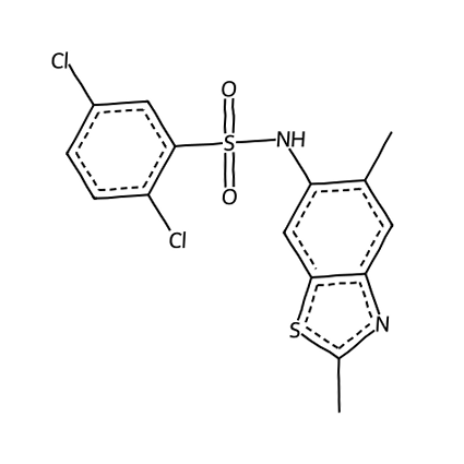 Cc1nc2cc(C)c(NS(=O)(=O)c3cc(Cl)ccc3Cl)cc2s1